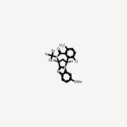 [2H]C([2H])([2H])N1C(=O)c2c(C)ccc(Cl)c2[C@H]2C[C@@H]1c1nc3ccc(OC)cc3n12